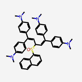 CN(C)c1ccc(C(=CC(C=C(c2ccc(N(C)C)cc2)c2ccc(N(C)C)cc2)[S+]([O-])c2cccc3ccccc23)c2ccc(N(C)C)cc2)cc1